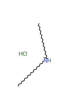 CCCCCCCCCCCCCCCCCCNC(C)(C)CCCCCCCCCCCCCCCCC.Cl